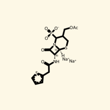 CC(=O)OCC1CS[C@H]2[C@H](NC(=O)Cc3cccs3)C(=O)N2C1P(=O)([O-])[O-].[Na+].[Na+]